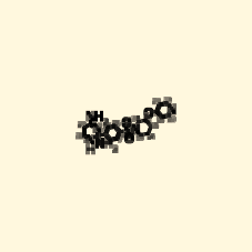 NC1=NC(N)(c2ccc(S(=O)(=O)N3CCCC(Oc4ccncc4)C3)cc2)NC=C1